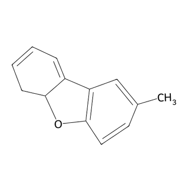 Cc1ccc2c(c1)C1=CC=CCC1O2